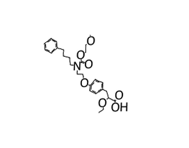 CCOC(Cc1ccc(OCCN(CCCCc2ccccc2)C(=O)OCCOC)cc1)C(=O)O